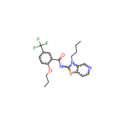 CCCCn1c(=NC(=O)c2cc(C(F)(F)F)ccc2OCCC)sc2ccncc21